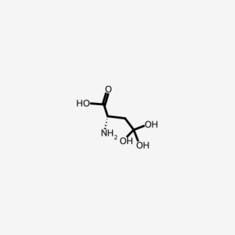 N[C@@H](CC(O)(O)O)C(=O)O